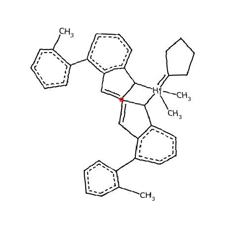 Cc1ccccc1-c1cccc2c1C=C[CH]2[Hf]([CH3])([CH3])(=[C]1CCCC1)[CH]1C=Cc2c(-c3ccccc3C)cccc21